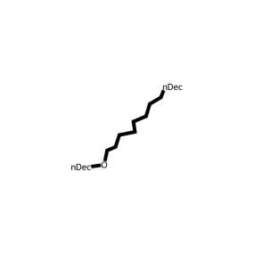 CCCCCCCCCCCCCCCCCCOCCCCCCCCCC